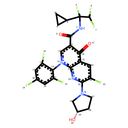 O=C(NC(F)(C(F)F)C1CC1)c1cn(-c2c(F)cc(F)cc2F)c2nc(N3CC[C@H](O)C3)c(F)cc2c1=O